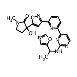 CC(Nc1nccc(-c2cccc(-c3cc(C4(O)CCN(C)C4=O)on3)n2)n1)c1cnco1